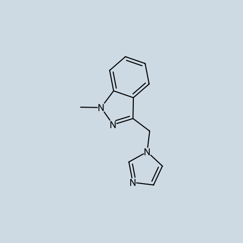 Cn1nc(Cn2ccnc2)c2ccccc21